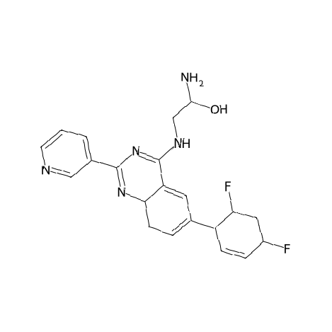 NC(O)CNC1=NC(c2cccnc2)=NC2CC=C(C3C=CC(F)CC3F)C=C12